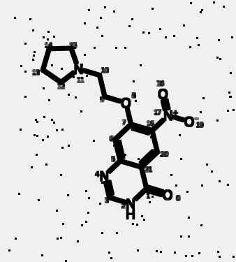 O=c1[nH]cnc2cc(OCCN3CCCC3)c([N+](=O)[O-])cc12